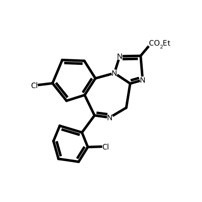 CCOC(=O)c1nc2n(n1)-c1ccc(Cl)cc1C(c1ccccc1Cl)=NC2